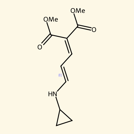 COC(=O)C(=C/C=C/NC1CC1)C(=O)OC